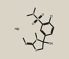 Br.CN=C1SCC(O)(c2ccc(Cl)c(S(=O)(=O)N(C)C)c2)N1C